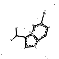 CC(C)c1cnc2ccc(Br)cn12